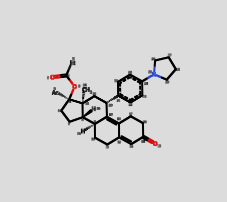 CCC(=O)O[C@]1(C(C)=O)CC[C@H]2[C@@H]3CCC4=CC(=O)CCC4=C3[C@@H](c3ccc(N4CCCC4)cc3)C[C@@]21C